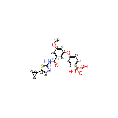 CC(C)Oc1cc(Oc2ccc(P(=O)(O)O)cc2)cc(C(=O)Nc2ncc(C3CC3)s2)c1